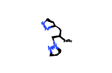 CCCCC(CC1=N[N]C=C1)Cn1cccn1